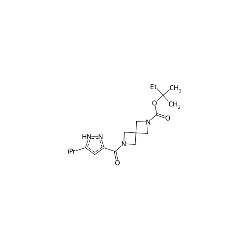 CCC(C)(C)OC(=O)N1CC2(C1)CN(C(=O)c1cc(C(C)C)[nH]n1)C2